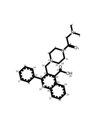 CN(C)CC(=O)N1CCN(Cc2c(-c3ccccc3)nc3ccccc3c2C(=O)O)CC1